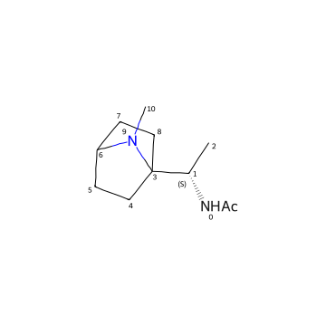 CC(=O)N[C@@H](C)C12CCC(CC1)N2C